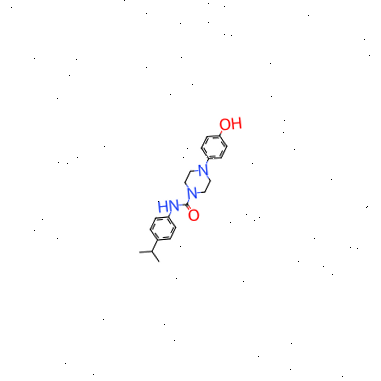 CC(C)c1ccc(NC(=O)N2CCN(c3ccc(O)cc3)CC2)cc1